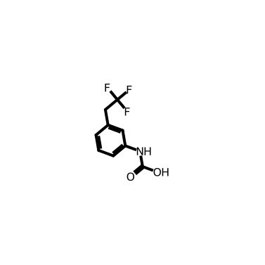 O=C(O)Nc1cccc(CC(F)(F)F)c1